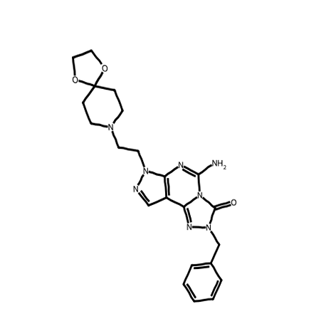 Nc1nc2c(cnn2CCN2CCC3(CC2)OCCO3)c2nn(Cc3ccccc3)c(=O)n12